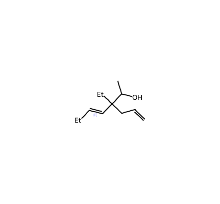 C=CCC(/C=C/CC)(CC)C(C)O